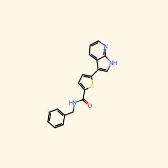 O=C(NCc1ccccc1)c1ccc(-c2c[nH]c3ncccc23)s1